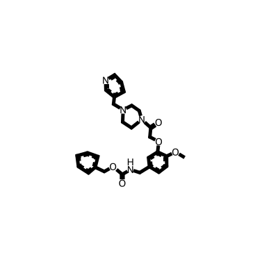 COc1ccc(CNC(=O)OCc2ccccc2)cc1OCC(=O)N1CCN(Cc2cccnc2)CC1